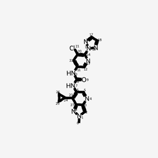 Cn1cc2ncc(NC(=O)Nc3cnc(-n4nccn4)c(Cl)c3)c(C3CC3)c2n1